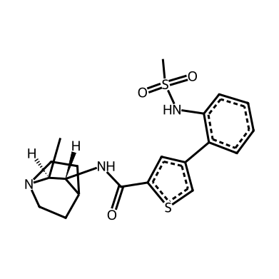 C[C@H]1[C@H](NC(=O)c2cc(-c3ccccc3NS(C)(=O)=O)cs2)C2CCN1CC2